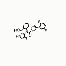 O=C(N1CC=C(c2cc(F)ccc2F)C1)N(c1ccccc1CO)[C@H]1CNC[C@@H]1F